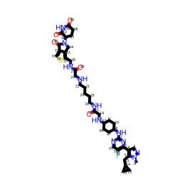 Cn1ncc(-c2nc(NC3CCC(NCC(=O)NCCCCCNCC(=O)NCc4scc5c4CN(C4CCC(=O)NC4=O)C5=O)CC3)ncc2F)c1CC1CC1